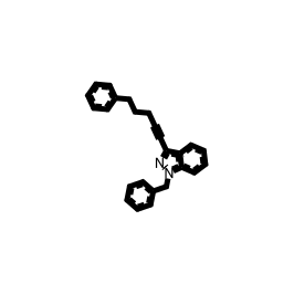 C(#Cc1nn(Cc2ccccc2)c2ccccc12)CCCc1ccccc1